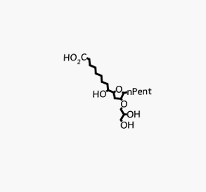 CCCCCC1OC(C(O)CCCCCCCC(=O)O)CC1OCC(O)CO